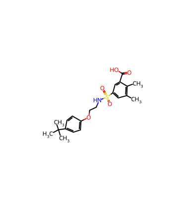 Cc1cc(S(=O)(=O)NCCOc2ccc(C(C)(C)C)cc2)cc(C(=O)O)c1C